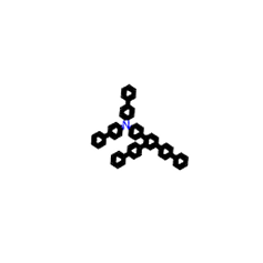 c1ccc(-c2ccc(-c3ccc(-c4ccc(N(c5ccc(-c6ccccc6)cc5)c5ccc(-c6ccccc6)cc5)cc4)c(-c4ccc(-c5ccccc5)cc4)c3)cc2)cc1